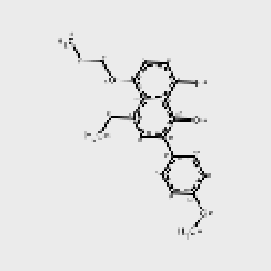 CCCOc1ccc(F)c2c(=O)c(-c3ccc(OC)cc3)cn(CC)c12